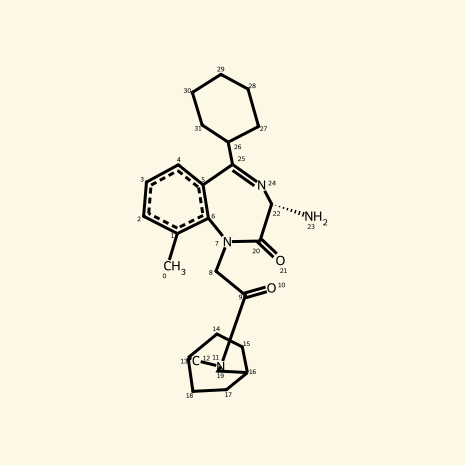 Cc1cccc2c1N(CC(=O)N1CC3CCC(CC3)C1)C(=O)[C@@H](N)N=C2C1CCCCC1